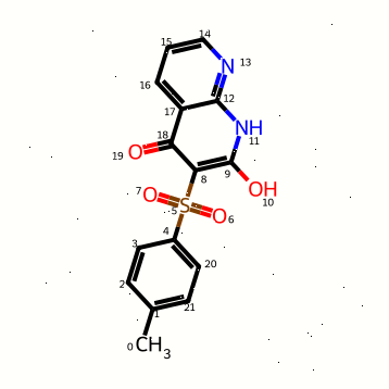 Cc1ccc(S(=O)(=O)c2c(O)[nH]c3ncccc3c2=O)cc1